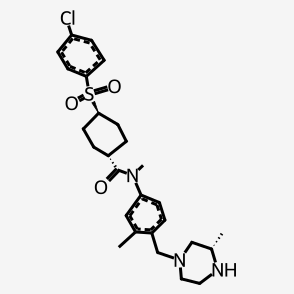 Cc1cc(N(C)C(=O)[C@H]2CC[C@H](S(=O)(=O)c3ccc(Cl)cc3)CC2)ccc1CN1CCN[C@@H](C)C1